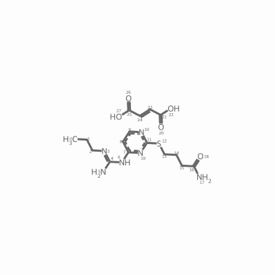 CCCN=C(N)Nc1ccnc(SCCCC(N)=O)n1.O=C(O)C=CC(=O)O